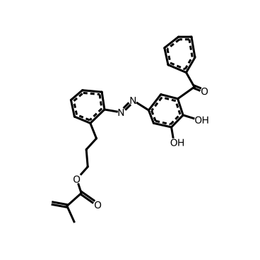 C=C(C)C(=O)OCCCc1ccccc1N=Nc1cc(O)c(O)c(C(=O)c2ccccc2)c1